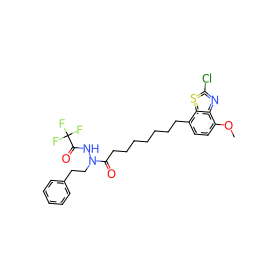 COc1ccc(CCCCCCCC(=O)N(CCc2ccccc2)NC(=O)C(F)(F)F)c2sc(Cl)nc12